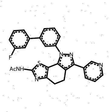 CC(=O)Nc1nc2c(s1)-c1c(c(-c3cccnc3)nn1-c1cccc(-c3cccc(F)c3)c1)CC2